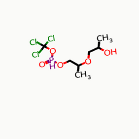 CC(O)COC(C)CO[PH](=O)OC(Cl)(Cl)Cl